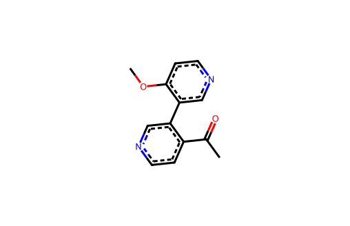 COc1ccncc1-c1cnccc1C(C)=O